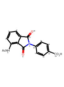 CC(=O)Nc1cccc2c1C(=O)N(c1ccc(C(=O)O)cc1)C2=O